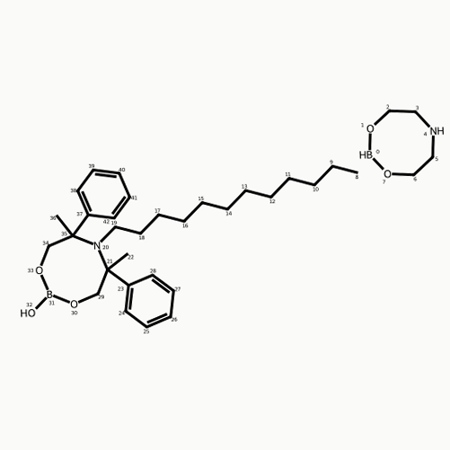 B1OCCNCCO1.CCCCCCCCCCCCN1C(C)(c2ccccc2)COB(O)OCC1(C)c1ccccc1